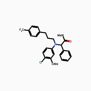 CNC(=O)C(c1ccccc1)N(CCCc1ccc(C(F)(F)F)cc1)c1ccc(Cl)c(OC)c1